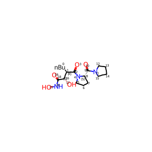 CCCC[C@@H](C(=O)N1CCC[C@H]1C(=O)N1CCCC1)[C@H](O)C(=O)NO